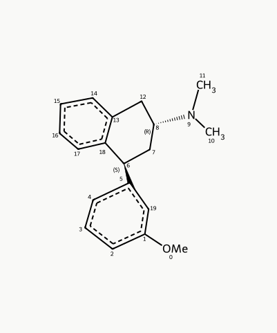 COc1cccc([C@@H]2C[C@@H](N(C)C)Cc3ccccc32)c1